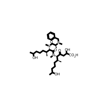 CC(O)CCC[C@H](C)[C@@H](C(=O)CC(O)C(=O)O)N(C)C(=O)[C@H]([C@@H](C)CCCC(C)O)N(C)C(=O)[C@H](C)N(C)Cc1ccccc1